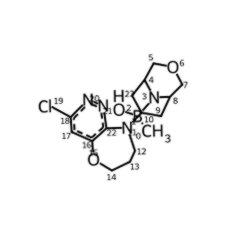 CB(O)N1C2COCC1CC(N1CCCOc3cc(Cl)nnc31)C2